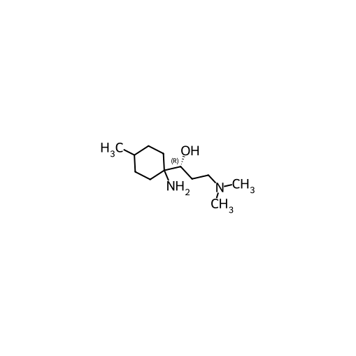 CC1CCC(N)([C@H](O)CCN(C)C)CC1